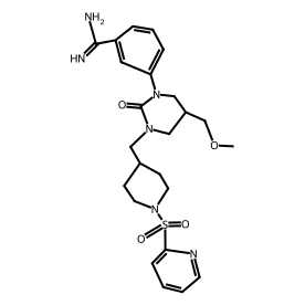 COCC1CN(CC2CCN(S(=O)(=O)c3ccccn3)CC2)C(=O)N(c2cccc(C(=N)N)c2)C1